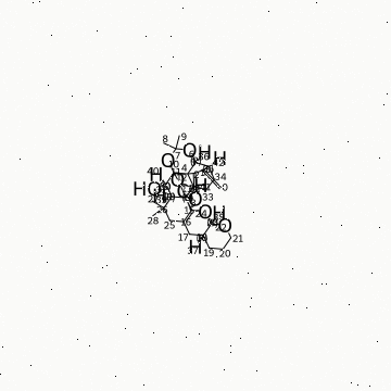 C=C1C(=O)C23[C@@H]4OC(C)(C)OC25OC[C@]2(C6=C(C[C@H]7CCCO[C@H]7O6)CC(C)(C)[C@H]2[C@@H]5O)[C@@H]3CC[C@@H]14